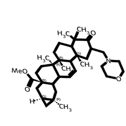 COC(=O)[C@@]12CC[C@]3(C)C(C=CC4[C@@]5(C)CC(CN6CCOCC6)C(=O)C(C)(C)C5CC[C@]43C)C1C[C@@]1(C)C[C@H]1C2